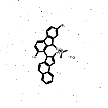 CCCC1=Cc2c(ccc3ccccc23)C1c1c(C(C)(C)C)ccc2c1[CH]([Zr+2][SiH](C)C)c1cc(C(C)(C)C)ccc1-2.[Cl-].[Cl-]